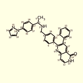 CC(NCc1ccc(-c2nc3cc[nH]c(=O)c3cc2-c2ccccc2)cc1)c1ccc(-n2cccn2)cc1